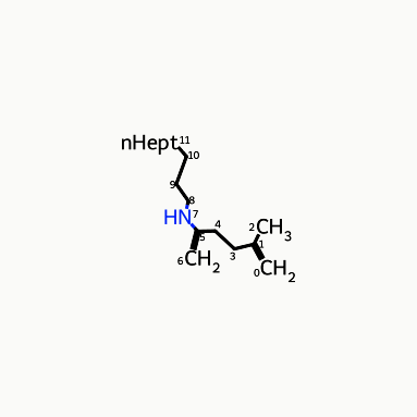 C=C(C)CCC(=C)NCCCCCCCCCC